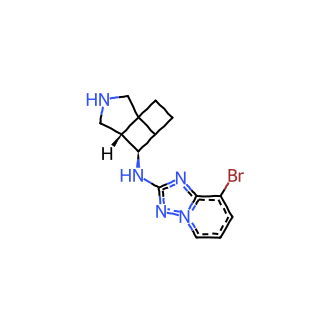 Brc1cccn2nc(N[C@@H]3C4CCC45CNC[C@@H]35)nc12